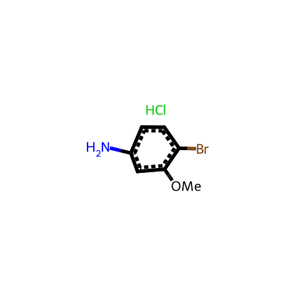 COc1cc(N)ccc1Br.Cl